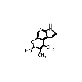 CC1=C(C)c2c(cnc3[nH]ccc23)OB1O